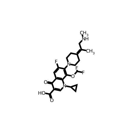 CNCC(C)=C1CCN(c2c(F)cc3c(=O)c(C(=O)O)cn(C4CC4)c3c2OC(F)F)CC1